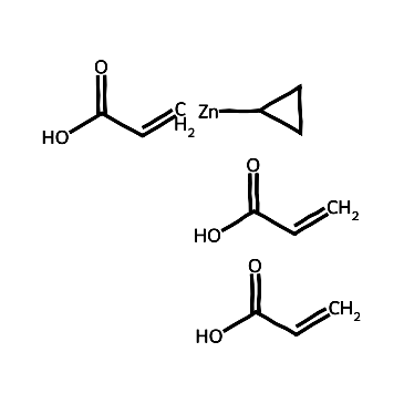 C=CC(=O)O.C=CC(=O)O.C=CC(=O)O.[Zn][CH]1CC1